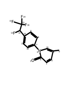 Cc1ccc(=O)n(-c2ccc(C(F)C(F)(F)F)cc2)c1